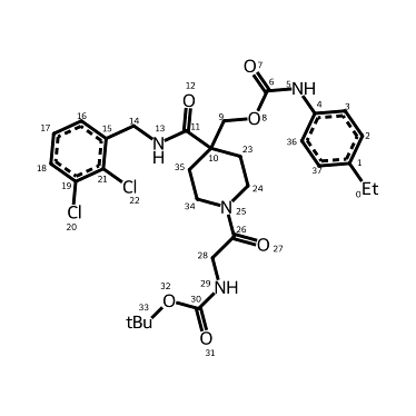 CCc1ccc(NC(=O)OCC2(C(=O)NCc3cccc(Cl)c3Cl)CCN(C(=O)CNC(=O)OC(C)(C)C)CC2)cc1